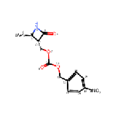 CS[C@H]1NC(=O)[C@@H]1COC(=O)OCc1ccc([N+](=O)[O-])cc1